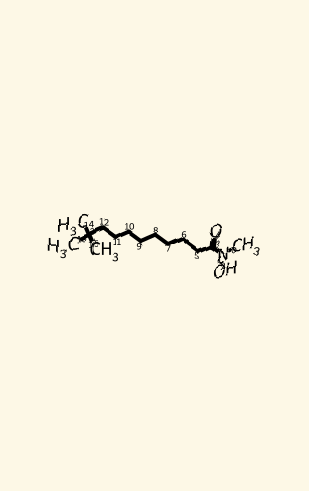 CN(O)C(=O)CCCCCCCCC(C)(C)C